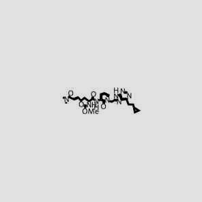 COC(=O)NC(CCC=CC(=O)N(C)C)C(=O)Nc1cccn(Cc2nc3c(CCC4CC4)ncnc3[nH]2)c1=O